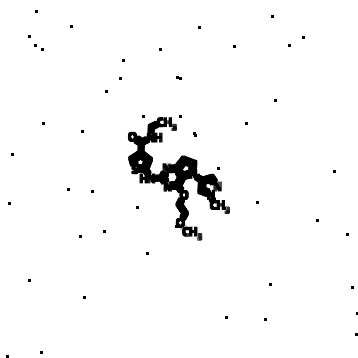 CCNC(=O)c1csc(Nc2nc(OCCOC)c3c(ccn3-c3cnn(C)c3)n2)c1